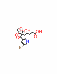 CC(=O)C(CCCCC(=O)O)(C(=O)O)C(=O)c1cncc(Br)c1